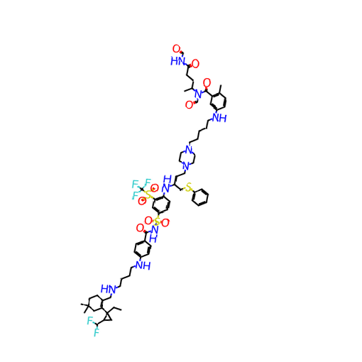 CCC1(C2=C(CNCCCCNc3ccc(C(=O)NS(=O)(=O)c4ccc(NC(CCN5CCN(CCCCCNc6ccc(C)c(C(=O)N(C=O)C(C)CCC(=O)NC=O)c6)CC5)CSc5ccccc5)c(S(=O)(=O)C(F)(F)F)c4)cc3)CCC(C)(C)C2)CC1C(F)F